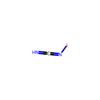 N=C=NI